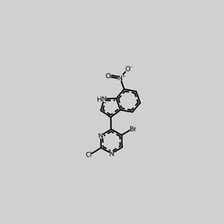 O=[N+]([O-])c1cccc2c(-c3nc(Cl)ncc3Br)c[nH]c12